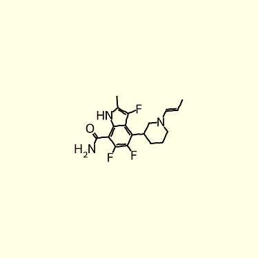 CC=CN1CCCC(c2c(F)c(F)c(C(N)=O)c3[nH]c(C)c(F)c23)C1